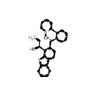 C=CC(=N)c1c(Cc2ccccc2-c2cccc[n+]2C)ccc2c1sc1ccccc12